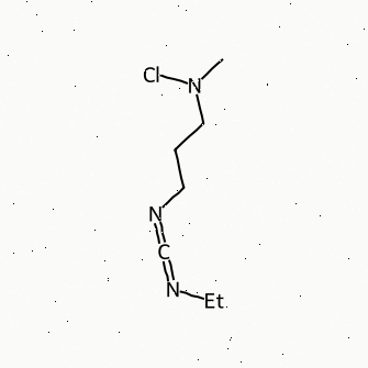 CCN=C=NCCCN(C)Cl